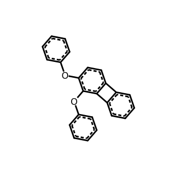 c1ccc(Oc2ccc3c(c2Oc2ccccc2)-c2ccccc2-3)cc1